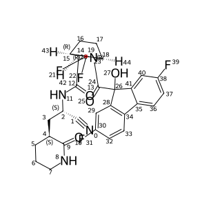 N#C[C@H](C[C@@H]1CCCNC1=O)NC(=O)[C@H]1[C@H]2CC[C@H](CC2(F)F)N1C(=O)C1(O)c2cc(F)ccc2-c2ccc(F)cc21